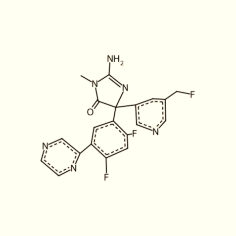 CN1C(=O)C(c2cncc(CF)c2)(c2cc(-c3cnccn3)c(F)cc2F)N=C1N